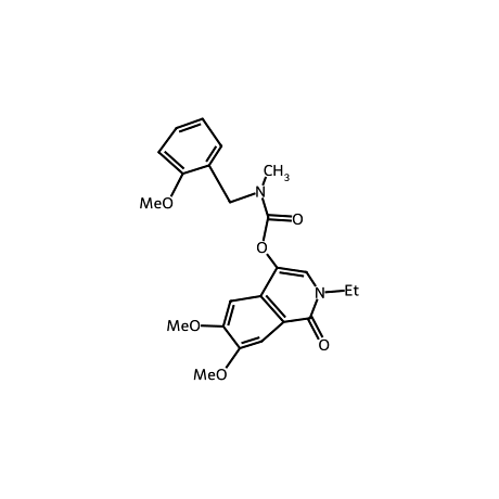 CCn1cc(OC(=O)N(C)Cc2ccccc2OC)c2cc(OC)c(OC)cc2c1=O